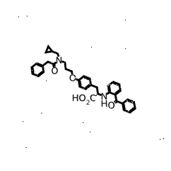 O=C(c1ccccc1)c1ccccc1N[C@@H](Cc1ccc(OCCCN(CC2CC2)C(=O)Cc2ccccc2)cc1)C(=O)O